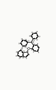 C1=CC(Oc2ccccc2C(c2ccccc2)c2ccccc2)c2ccccc21